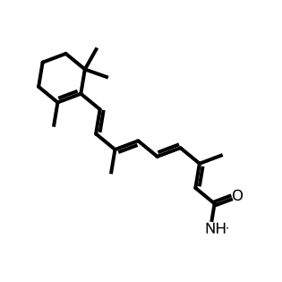 CC(C=CC1=C(C)CCCC1(C)C)=CC=CC(C)=CC([NH])=O